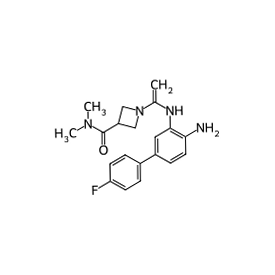 C=C(Nc1cc(-c2ccc(F)cc2)ccc1N)N1CC(C(=O)N(C)C)C1